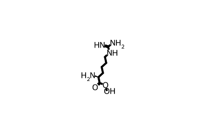 N=C(N)NCCCC[C@H](N)C(=O)OO